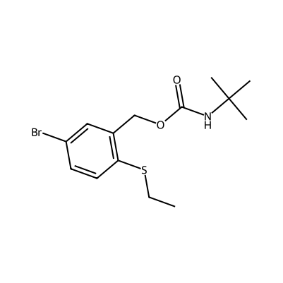 CCSc1ccc(Br)cc1COC(=O)NC(C)(C)C